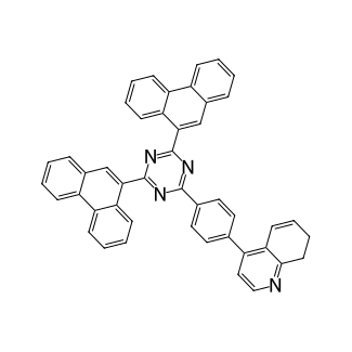 C1=Cc2c(-c3ccc(-c4nc(-c5cc6ccccc6c6ccccc56)nc(-c5cc6ccccc6c6ccccc56)n4)cc3)ccnc2CC1